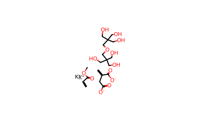 C=C(CC(=O)[O-])C(=O)[O-].C=CC(=O)OC.OCC(CO)(CO)COCC(CO)(CO)CO.[K+].[K+]